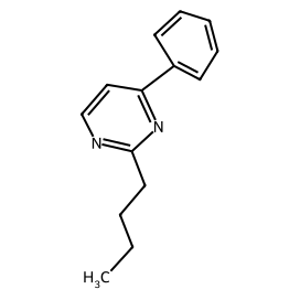 CCCCc1nccc(-c2ccccc2)n1